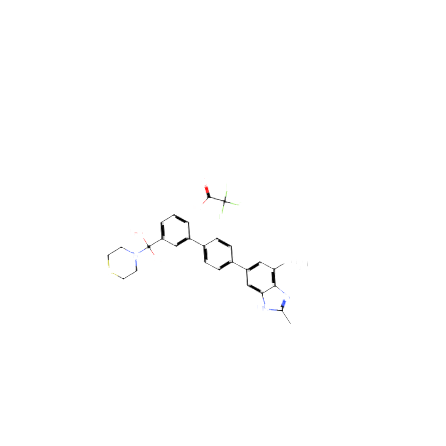 Cc1nc2c(C(=O)O)cc(-c3ccc(-c4cccc(C(O)(O)N5CCSCC5)c4)cc3)cc2[nH]1.O=C(O)C(F)(F)F